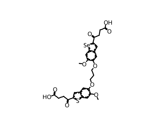 COc1cc2sc(C(=O)CCC(=O)O)cc2cc1OCCCOc1cc2cc(C(=O)CCC(=O)O)[se]c2cc1OC